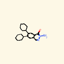 Nn1ncc2cc(C3CCCCC3)c(C3CCCCC3)cc2c1=O